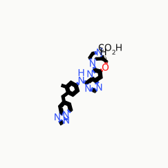 Cc1cc(Nc2ncnc3cc4c(nc23)N2CCN(C(=O)O)[C@H](CO4)C2)ccc1Cc1ccn2ncnc2c1